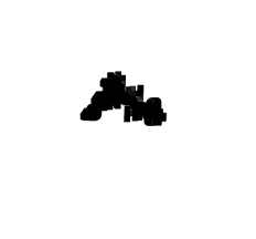 CCOc1ccc2c(c1)nc(NCCCCNC(=O)OC(C)(C)C)c1nnc(C)n12